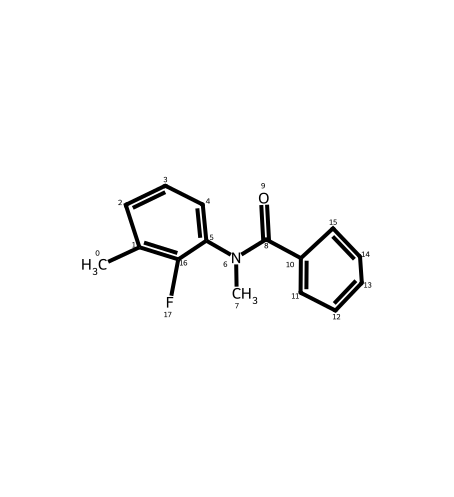 Cc1cccc(N(C)C(=O)c2ccccc2)c1F